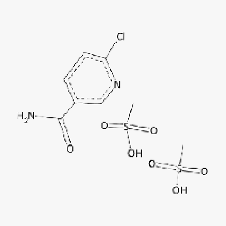 CS(=O)(=O)O.CS(=O)(=O)O.NC(=O)c1ccc(Cl)nc1